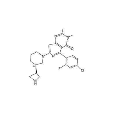 Cc1nc2cc(N3CCC[C@H](C4CNC4)C3)nc(-c3ccc(Cl)cc3F)c2c(=O)n1C